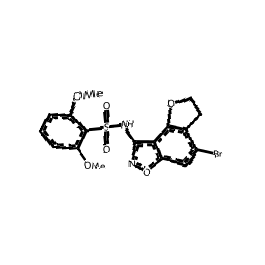 COc1cccc(OC)c1S(=O)(=O)Nc1noc2cc(Br)c3c(c12)OCC3